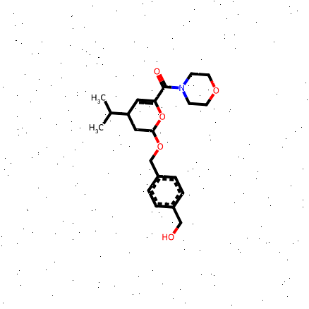 CC(C)C1C=C(C(=O)N2CCOCC2)OC(OCc2ccc(CO)cc2)C1